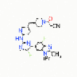 Cc1nc2c(F)cc(-c3nc(Nc4ccc(C=C5CCN(C(=O)CC#N)CC5)cn4)ncc3F)cc2n1C(C)C